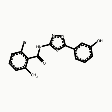 Cc1cccc(Br)c1C(=O)Nc1nnc(-c2cccc(O)c2)s1